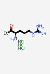 CCC(=O)C(N)CCCNC(=N)N.Cl.Cl.Cl